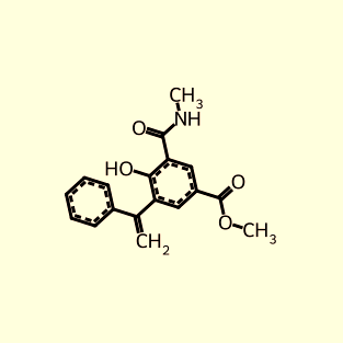 C=C(c1ccccc1)c1cc(C(=O)OC)cc(C(=O)NC)c1O